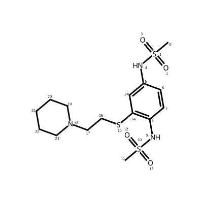 CS(=O)(=O)Nc1ccc(NS(C)(=O)=O)c(SCCN2CCCCC2)c1